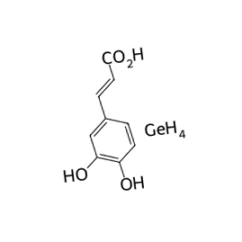 O=C(O)C=Cc1ccc(O)c(O)c1.[GeH4]